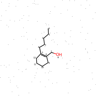 CCCCCC1=C(CO)CCCC1